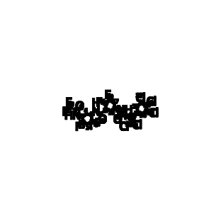 O=C(Nc1cc(NC(=O)C(F)F)c(F)cc1F)c1cc(NC(=O)[C@H]2[C@H](c3cc(Cl)c(Cl)c(Cl)c3)C2(Cl)Cl)cc(F)c1F